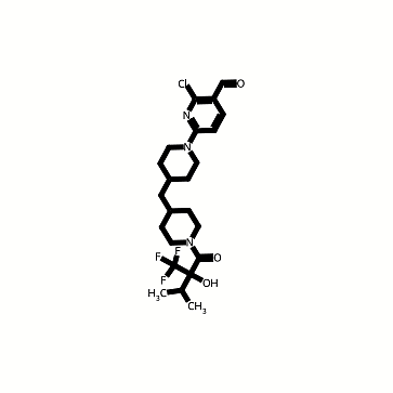 CC(C)C(O)(C(=O)N1CCC(CC2CCN(c3ccc(C=O)c(Cl)n3)CC2)CC1)C(F)(F)F